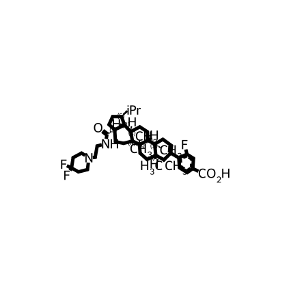 CC(C)[C@@H]1CC[C@]2(C(=O)NCCN3CCC(F)(F)CC3)CC[C@]3(C)[C@H](CC[C@@H]4[C@@]5(C)CC=C(c6ccc(C(=O)O)cc6F)C(C)(C)[C@@H]5CC[C@]43C)[C@@H]12